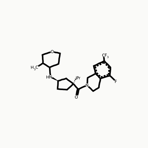 CC1COCCC1N[C@@H]1CC[C@@](C(=O)N2CCc3c(F)cc(C(F)(F)F)cc3C2)(C(C)C)C1